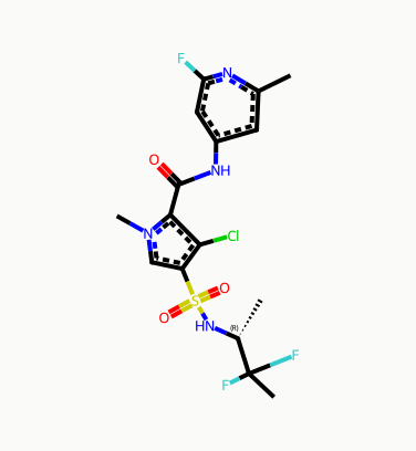 Cc1cc(NC(=O)c2c(Cl)c(S(=O)(=O)N[C@H](C)C(C)(F)F)cn2C)cc(F)n1